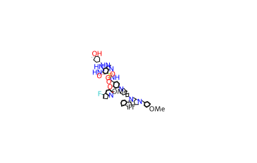 COc1ccc(CN2CC3CC2CN(C2CC4(CCN(c5ccc(C(=O)NS(=O)(=O)c6cc([NH+](C)[O-])c(NC[C@H]7CC[C@](C)(O)CC7)c7[nH]cnc67)c(Oc6cc7c(nc6OC)CC=C7F)c5)CC4)C2)[C@H](c2ccccc2C(C)C)C3)cc1